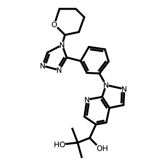 CC(C)(O)C(O)c1cnc2c(cnn2-c2cccc(-c3nncn3C3CCCCO3)c2)c1